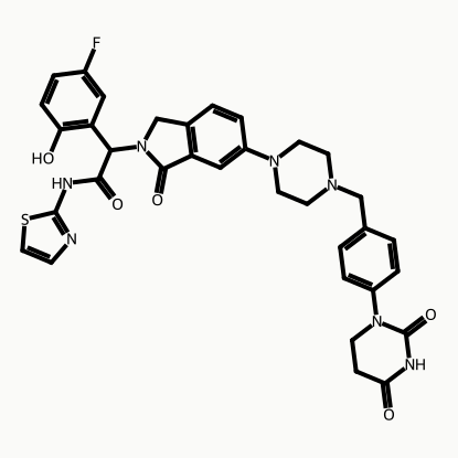 O=C1CCN(c2ccc(CN3CCN(c4ccc5c(c4)C(=O)N(C(C(=O)Nc4nccs4)c4cc(F)ccc4O)C5)CC3)cc2)C(=O)N1